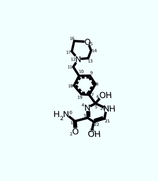 NC(=O)C1=NC(O)(c2ccc(CN3CCOCC3)cc2)NC=C1O